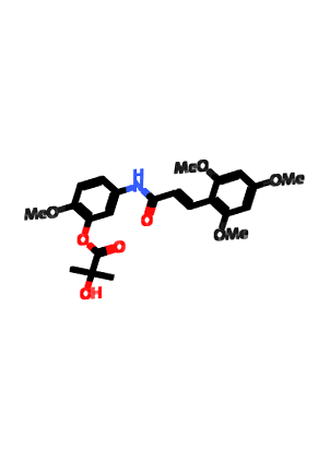 COc1cc(OC)c(C=CC(=O)Nc2ccc(OC)c(OC(=O)C(C)(C)O)c2)c(OC)c1